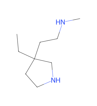 CCC1(CCNC)CCNC1